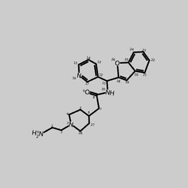 NCCN1CCC(CC(=O)NC(c2cccnc2)c2cc3ccccc3o2)CC1